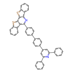 c1ccc(-c2cc(-c3ccc(-c4ccc(-c5nc6c7ccccc7sc6c6sc7ccccc7c56)cc4)cc3)cc(-c3ccccc3)n2)cc1